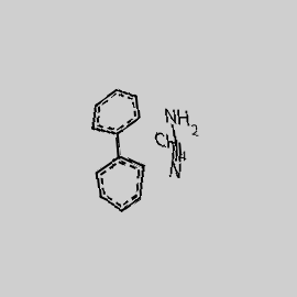 C.N#CN.c1ccc(-c2ccccc2)cc1